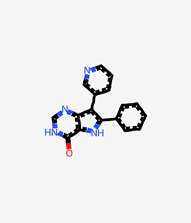 O=c1[nH]cnc2c(-c3cccnc3)c(-c3ccccc3)[nH]c12